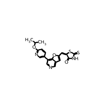 CC(C)Oc1ccc(-c2cncc3cc(C=C4SC(=S)NC4=O)oc23)cn1